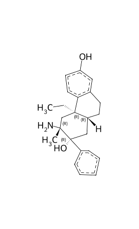 CC[C@@]12C[C@@](C)(N)[C@](O)(c3ccccc3)C[C@H]1CCc1cc(O)ccc12